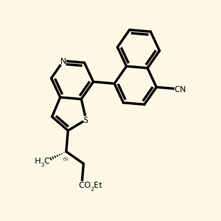 CCOC(=O)C[C@H](C)c1cc2cncc(-c3ccc(C#N)c4ccccc34)c2s1